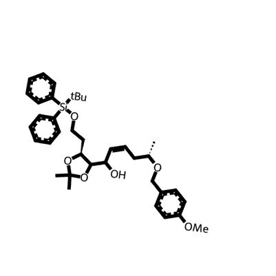 COc1ccc(CO[C@@H](C)C/C=C\C(O)C2OC(C)(C)O[C@H]2CCO[Si](c2ccccc2)(c2ccccc2)C(C)(C)C)cc1